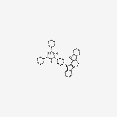 N=C(NC(NCc1ccccc1)c1ccc(-n2c3ccccc3c3ccc4c5ccccc5oc4c32)cc1)c1ccccc1